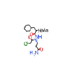 CNC(CC1CCCCC1)C(=O)NN(CCC(N)=O)C(=O)CCl